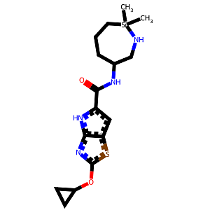 C[Si]1(C)CCCC(NC(=O)c2cc3sc(OC4CC4)nc3[nH]2)CN1